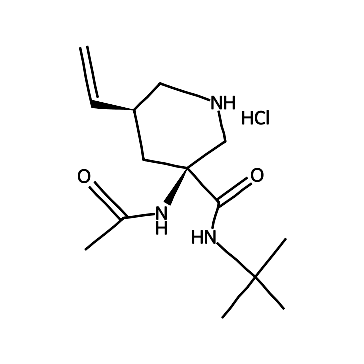 C=C[C@H]1CNC[C@](NC(C)=O)(C(=O)NC(C)(C)C)C1.Cl